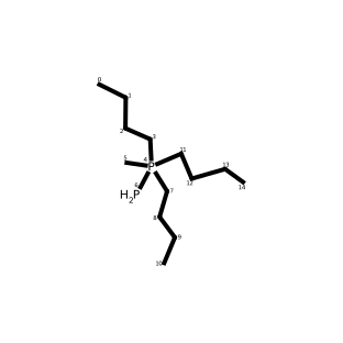 CCCCP(C)(P)(CCCC)CCCC